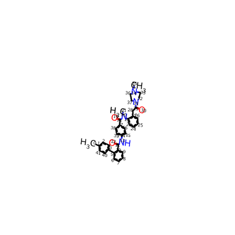 Cc1ccc(-c2ccccc2C(=O)Nc2ccc(C(=O)N(C)c3ccccc3CC(=O)N3CCN(C)CC3)cc2)cc1